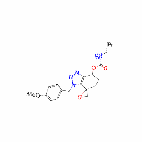 COc1ccc(Cn2nnc3c2C2(CCC3OC(=O)NCC(C)C)CO2)cc1